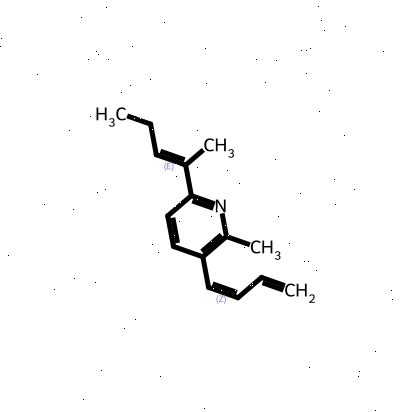 C=C/C=C\c1ccc(/C(C)=C/CC)nc1C